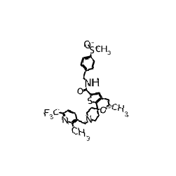 Cc1nc(C(F)(F)F)ccc1CN1CCC2(CC1)O[C@@H](C)Cc1cc(C(=O)NCc3ccc([S+](C)[O-])cc3)sc12